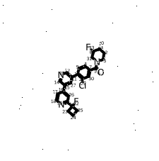 C[C@@H]1CCN(C(=O)c2ccc(-c3cncc(-c4ccnc(C5(F)CCC5)c4)c3)c(Cl)c2)C[C@H]1F